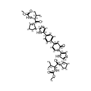 COC(=O)N[C@H](C(=O)N1CCC[C@H]1c1ncc(-c2ccc(-c3ccn(-c4cnc([C@@H]5CCCN5C(=O)[C@@H](NC(=O)OC)C(C)C)[nH]4)c(=O)c3)cc2)[nH]1)C(C)C